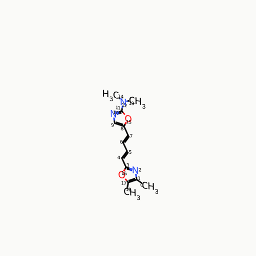 Cc1nc(C=CC=Cc2cnc(N(C)C)o2)oc1C